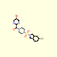 O=C(c1ncc(Br)cn1)N1CCN(S(=O)(=O)n2cc3ccc(Cl)cc3c2)CC1